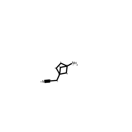 N#CCC12CCC(N)(C1)C2